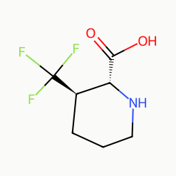 O=C(O)[C@@H]1NCCC[C@H]1C(F)(F)F